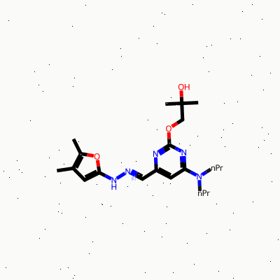 CCCN(CCC)c1cc(/C=N/Nc2cc(C)c(C)o2)nc(OCC(C)(C)O)n1